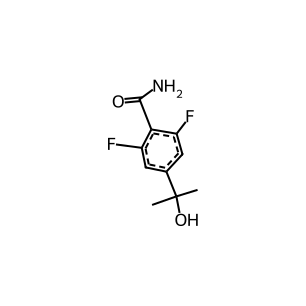 CC(C)(O)c1cc(F)c(C(N)=O)c(F)c1